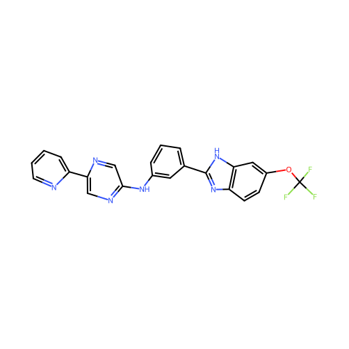 FC(F)(F)Oc1ccc2nc(-c3cccc(Nc4cnc(-c5ccccn5)cn4)c3)[nH]c2c1